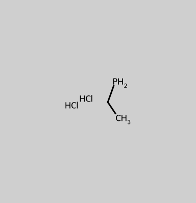 CCP.Cl.Cl